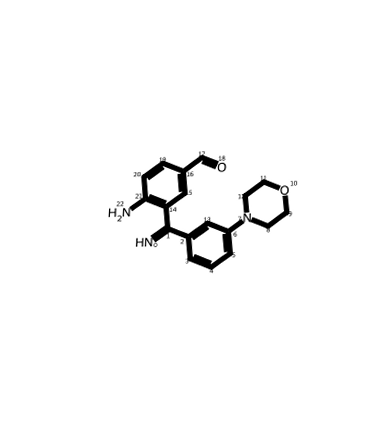 N=C(c1cccc(N2CCOCC2)c1)c1cc(C=O)ccc1N